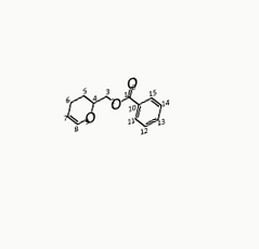 O=C(OCC1CCC=CO1)c1ccccc1